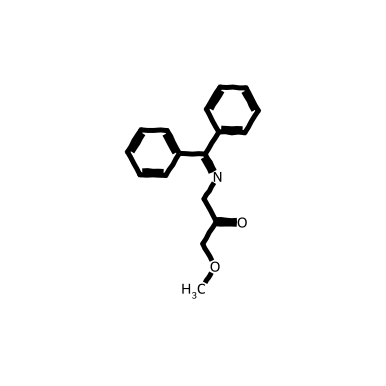 COCC(=O)CN=C(c1ccccc1)c1ccccc1